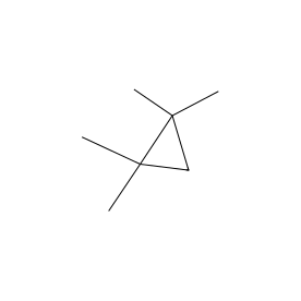 CC1(C)CC1(C)C